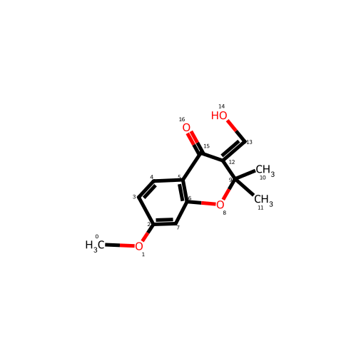 COc1ccc2c(c1)OC(C)(C)/C(=C/O)C2=O